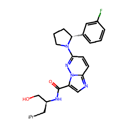 CC(C)C[C@@H](CO)NC(=O)c1cnc2ccc(N3CCC[C@@H]3c3cccc(F)c3)nn12